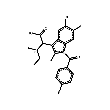 CC[C@@H](C)C(C(=O)O)c1c(C)n(C(=O)c2ccc(F)cc2)c2cc(F)c(O)cc12